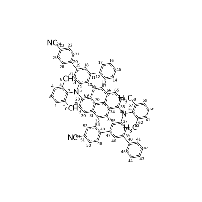 Cc1cccc(C)c1N(c1cc(-c2ccccc2)cc(-c2ccc(C#N)cc2)c1)c1ccc2ccc3c(N(c4cc(-c5ccccc5)cc(-c5ccc(C#N)cc5)c4)c4c(C)cccc4C)ccc4ccc1c2c43